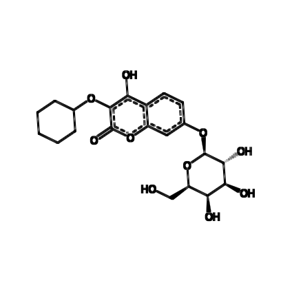 O=c1oc2cc(O[C@@H]3O[C@H](CO)[C@H](O)[C@H](O)[C@H]3O)ccc2c(O)c1OC1CCCCC1